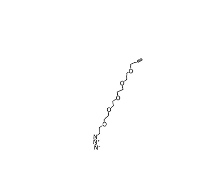 C#CCOCCOCCOCCOCCOCCN=[N+]=[N-]